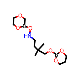 CC(C)(CCNOB1COCCO1)COB1OCCCO1